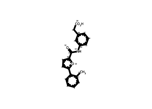 Cc1ccccc1-c1ccc(C(=O)Nc2cccc(CC(=O)O)c2)o1